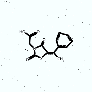 C/C(=C1\SC(=O)N(CC(=O)O)C1=O)c1ccccc1